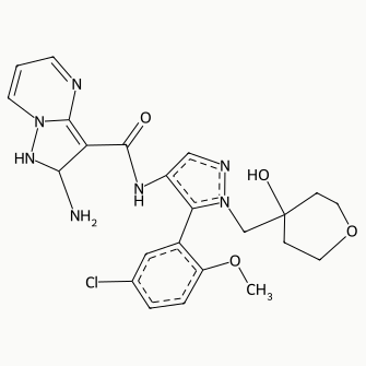 COc1ccc(Cl)cc1-c1c(NC(=O)C2=C3N=CC=CN3NC2N)cnn1CC1(O)CCOCC1